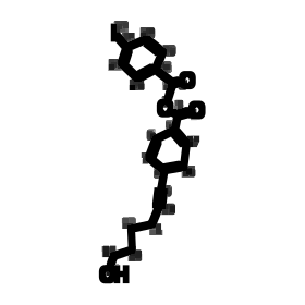 O=C(OC(=O)c1ccc(C#CCCCCO)cc1)c1ccc(I)cc1